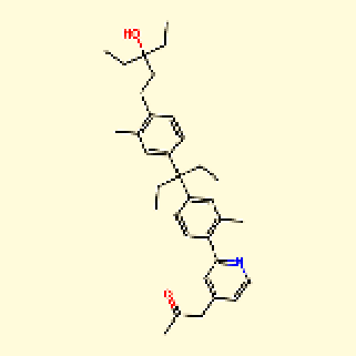 CCC(O)(CC)CCc1ccc(C(CC)(CC)c2ccc(-c3cc(CC(C)=O)ccn3)c(C)c2)cc1C